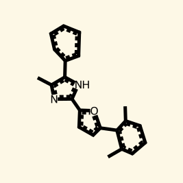 Cc1cccc(C)c1-c1ccc(-c2nc(C)c(-c3ccccc3)[nH]2)o1